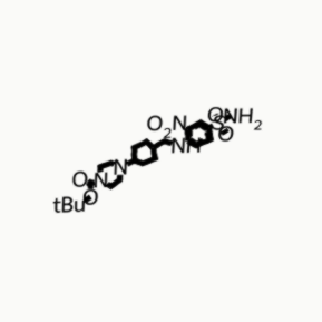 CC(C)(C)OC(=O)N1CCN(C2CCC(CNc3ccc(S(N)(=O)=O)cc3[N+](=O)[O-])CC2)CC1